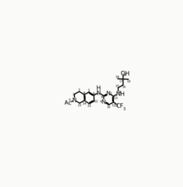 CC(=O)N1CCc2cc(Nc3ncc(C(F)(F)F)c(NCCC(C)(C)O)n3)ccc2C1